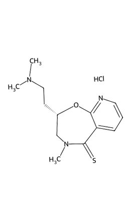 CN(C)CC[C@H]1CN(C)C(=S)c2cccnc2O1.Cl